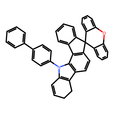 C1=Cc2c(c3ccc4c(c3n2-c2ccc(-c3ccccc3)cc2)-c2ccccc2C42c3ccccc3Oc3ccccc32)CC1